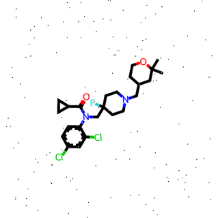 CC1(C)CC(CN2CCC(F)(CN(C(=O)C3CC3)c3ccc(Cl)cc3Cl)CC2)CCO1